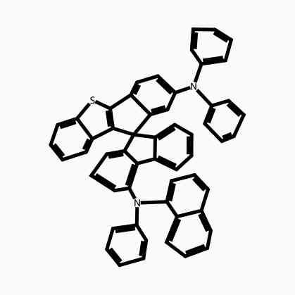 c1ccc(N(c2ccccc2)c2ccc3c(c2)C2(c4ccccc4-c4c(N(c5ccccc5)c5cccc6ccccc56)cccc42)c2c-3sc3ccccc23)cc1